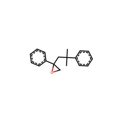 CC(C)(CC1(c2ccccc2)CO1)c1ccccc1